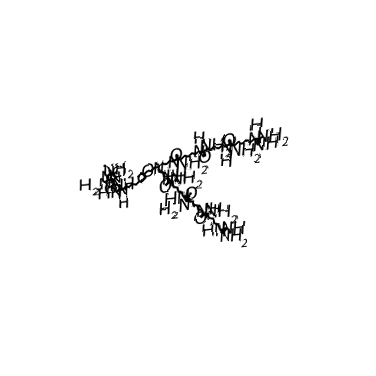 N=C(N)NCCCC[C@H](N)C(=O)NCCCC[C@H](N)C(=O)NCCCC[C@H](N)C(=O)NCCCN(CCCNC(=O)[C@@H](N)CCCCNC(=O)[C@@H](N)CCCCNC(=O)[C@@H](N)CCCCNC(=N)N)CCOc1ccc(CCCCNC(=N)NC(=O)c2nc(Cl)c(N)nc2N)cc1